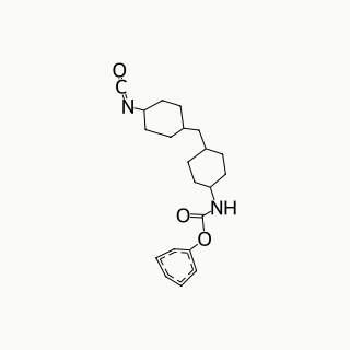 O=C=NC1CCC(CC2CCC(NC(=O)Oc3ccccc3)CC2)CC1